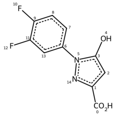 O=C(O)c1cc(O)n(-c2ccc(F)c(F)c2)n1